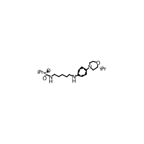 CC(C)[C@@H]1CN(c2ccc(NCCCCCNS(=O)(=O)C(C)C)cc2)CCO1